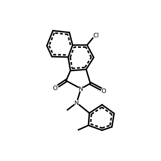 Cc1ccccc1N(C)N1C(=O)c2cc(Cl)c3ccccc3c2C1=O